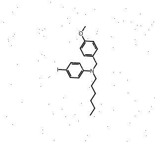 CCCCCCN(Cc1ccc(OC)cc1)c1ccc(I)cc1